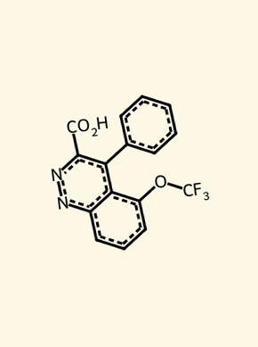 O=C(O)c1nnc2cccc(OC(F)(F)F)c2c1-c1ccccc1